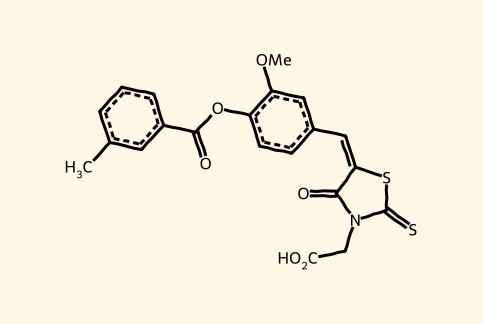 COc1cc(C=C2SC(=S)N(CC(=O)O)C2=O)ccc1OC(=O)c1cccc(C)c1